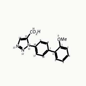 COc1ccccc1-c1ccc(-n2nncc2C(=O)O)cc1